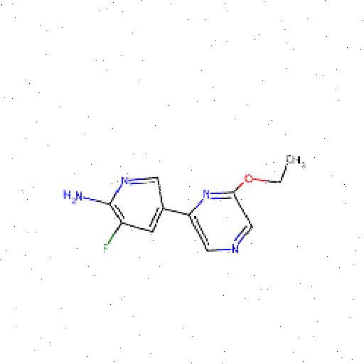 CCOc1cncc(-c2cnc(N)c(F)c2)n1